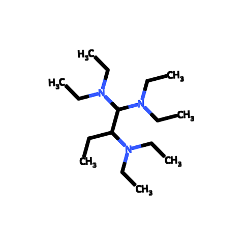 CCC([C](N(CC)CC)N(CC)CC)N(CC)CC